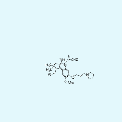 COc1cc2c3c(c(N)nc2cc1OCCCN1CCCC1)CC(C)(C)C3CC(C)C.O=CO